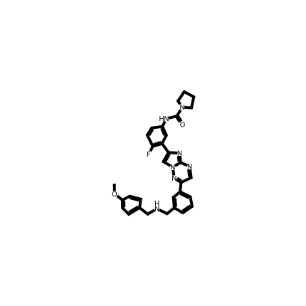 COc1ccc(CNCc2cccc(-c3cnc4nc(-c5cc(NC(=O)N6CCCC6)ccc5F)cn4n3)c2)cc1